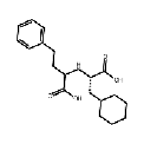 O=C(O)C(CCc1ccccc1)N[C@@H](CC1CCCCC1)C(=O)O